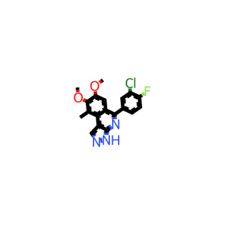 COc1cc2c(-c3ccc(F)c(Cl)c3)nc3[nH]ncc3c2c(C)c1OC